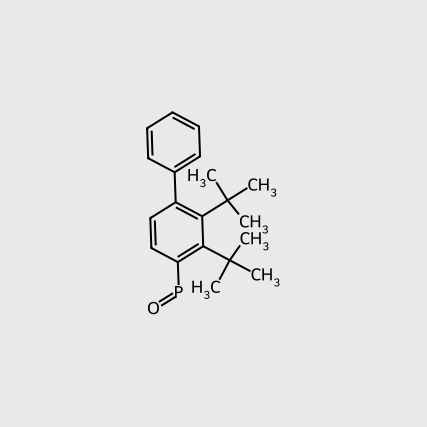 CC(C)(C)c1c(P=O)ccc(-c2ccccc2)c1C(C)(C)C